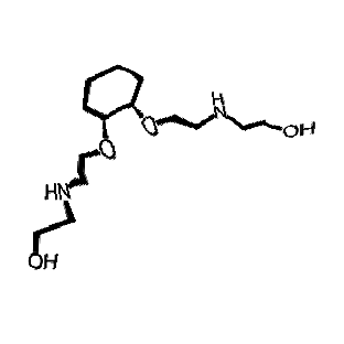 OCCNCCO[C@H]1CCCC[C@H]1OCCNCCO